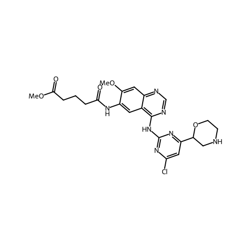 COC(=O)CCCC(=O)Nc1cc2c(Nc3nc(Cl)cc(C4CNCCO4)n3)ncnc2cc1OC